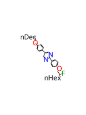 CCCCCCCCCCCOc1ccc(-c2cnc(-c3ccc(OCC(F)CCCCCC)cc3)nc2)cc1